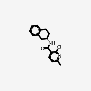 Cc1ccc(C(=O)N[C@H]2CCc3ccccc3C2)c(Cl)n1